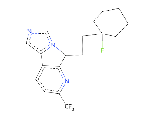 FC1(CCC2c3nc(C(F)(F)F)ccc3-c3cncn32)CCCCC1